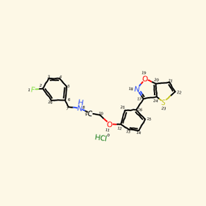 Cl.Fc1cccc(CNCCOc2cccc(-c3noc4ccsc34)c2)c1